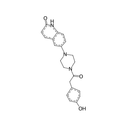 O=C(Cc1ccc(O)cc1)N1CCN(c2ccc3[nH]c(=O)ccc3c2)CC1